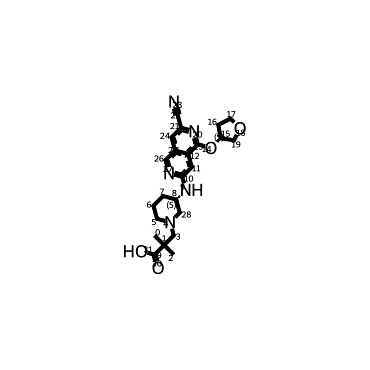 CC(C)(CN1CCC[C@H](Nc2cc3c(O[C@H]4CCOC4)nc(C#N)cc3cn2)C1)C(=O)O